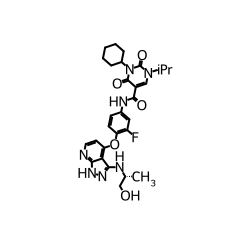 CC(C)n1cc(C(=O)Nc2ccc(Oc3ccnc4[nH]nc(N[C@H](C)CO)c34)c(F)c2)c(=O)n(C2CCCCC2)c1=O